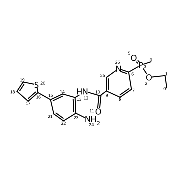 CCOP(C)(=O)c1ccc(C(=O)Nc2cc(-c3cccs3)ccc2N)cn1